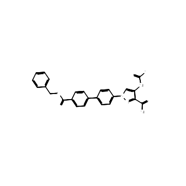 NC(=O)Nc1cn(-c2ccc(-c3ccc(C(=O)NCc4ccccc4)cc3)cc2)nc1C(N)=O